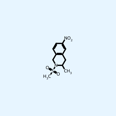 CC1Cc2cc([N+](=O)[O-])ccc2CN1S(C)(=O)=O